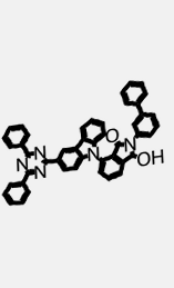 O=C1c2c(cccc2-n2c3ccccc3c3cc(-c4nc(-c5ccccc5)nc(-c5ccccc5)n4)ccc32)C(O)N1c1cccc(-c2ccccc2)c1